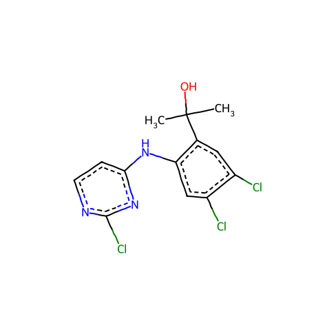 CC(C)(O)c1cc(Cl)c(Cl)cc1Nc1ccnc(Cl)n1